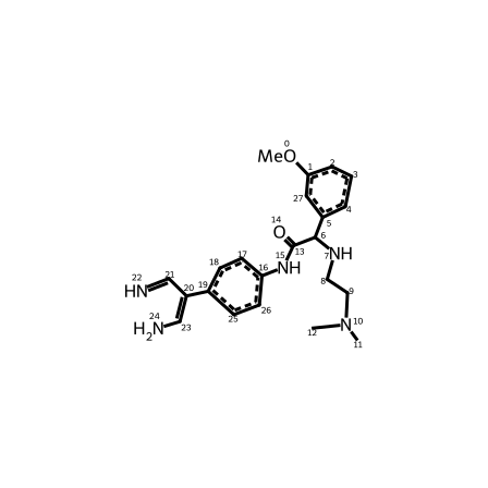 COc1cccc(C(NCCN(C)C)C(=O)Nc2ccc(/C(C=N)=C/N)cc2)c1